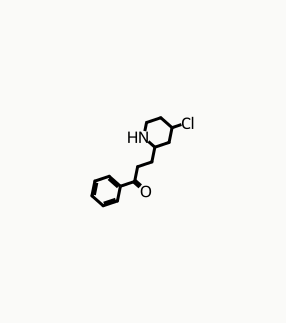 O=C(CCC1CC(Cl)CCN1)c1ccccc1